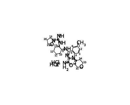 Cc1ccc2c(c1)C(N[C@H]1CCCC[C@H]1NC(=N)N1CCCO1)N=C(C(N)=O)N2C1CCOCC1.Cl.Cl